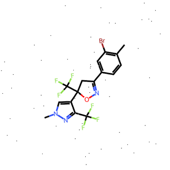 Cc1ccc(C2=NOC(c3cn(C)nc3C(F)(F)F)(C(F)(F)F)C2)cc1Br